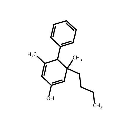 CCCCC1(C)C=C(O)C=C(C)C1c1ccccc1